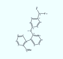 COc1ccncc1-c1cccnc1Oc1ccc(C(F)F)cc1